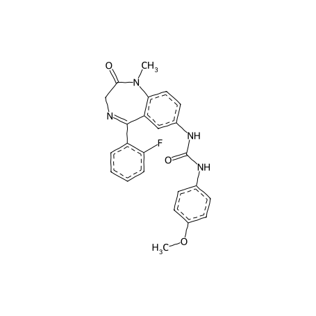 COc1ccc(NC(=O)Nc2ccc3c(c2)C(c2ccccc2F)=NCC(=O)N3C)cc1